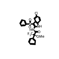 CO[C@@](C(=O)Nc1[nH]c2ccc(Cl)cc2c1S(=O)(=O)c1ccccc1)(c1ccccc1)C(F)(F)F